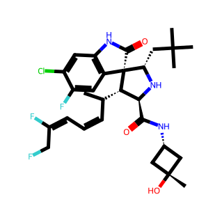 CC(/C=C\C=C(\F)CF)[C@H]1[C@H](C(=O)N[C@H]2C[C@@](C)(O)C2)N[C@@H](CC(C)(C)C)[C@@]12C(=O)Nc1cc(Cl)c(F)cc12